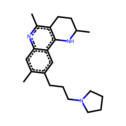 Cc1cc2nc(C)c3c(c2cc1CCCN1CCCC1)NC(C)CC3